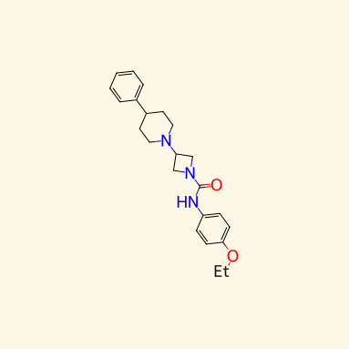 CCOc1ccc(NC(=O)N2CC(N3CCC(c4ccccc4)CC3)C2)cc1